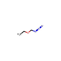 BCOCN=[N+]=[N-]